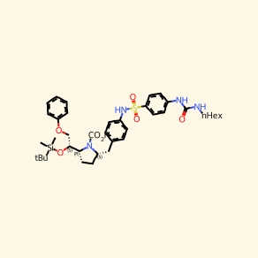 CCCCCCNC(=O)Nc1ccc(S(=O)(=O)Nc2ccc(C[C@@H]3CC[C@H]([C@@H](COc4ccccc4)O[Si](C)(C)C(C)(C)C)N3C(=O)O)cc2)cc1